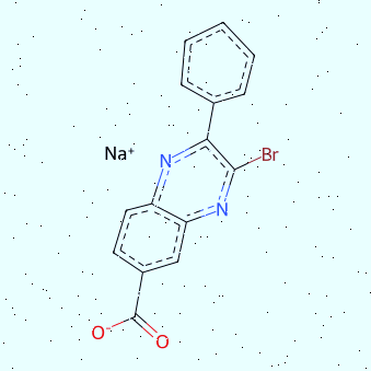 O=C([O-])c1ccc2nc(-c3ccccc3)c(Br)nc2c1.[Na+]